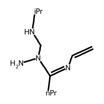 C=C/N=C(/CCC)N(N)CNC(C)C